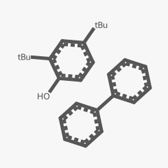 CC(C)(C)c1ccc(O)c(C(C)(C)C)c1.c1ccc(-c2ccccc2)cc1